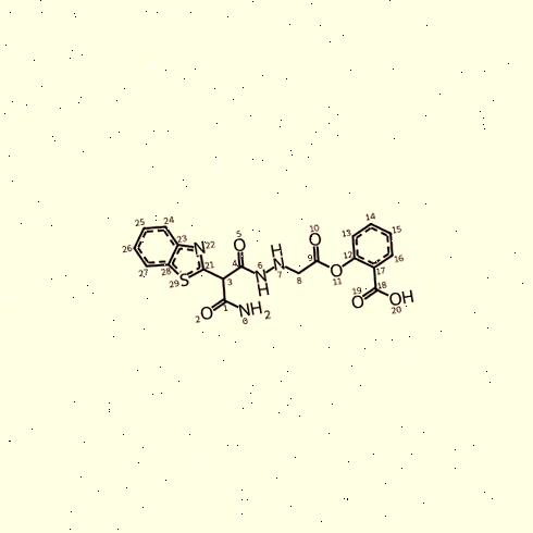 NC(=O)C(C(=O)NNCC(=O)Oc1ccccc1C(=O)O)c1nc2ccccc2s1